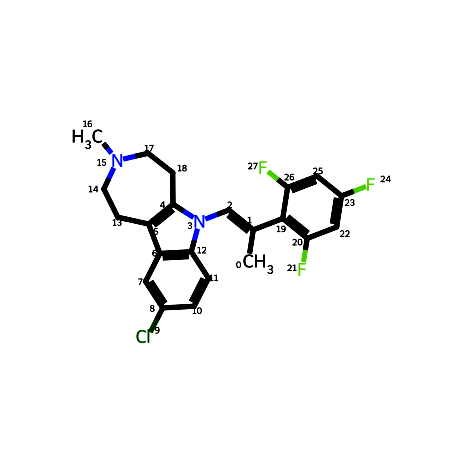 C/C(=C\n1c2c(c3cc(Cl)ccc31)CCN(C)CC2)c1c(F)cc(F)cc1F